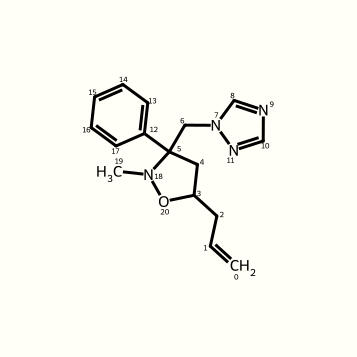 C=CCC1CC(Cn2cncn2)(c2ccccc2)N(C)O1